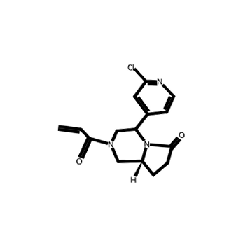 C=CC(=O)N1CC(c2ccnc(Cl)c2)N2C(=O)CC[C@@H]2C1